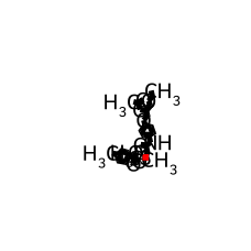 CCOCC(COc1ccc(NC(=O)CS(C)(C)OS(=O)(=O)c2ccc(C)cc2)cc1)OC(C)=O